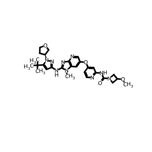 COC1CN(C(=O)Nc2cc(Oc3cnc4nc(Nc5cc(C(C)(C)C)n([C@H]6CCOC6)n5)n(C)c4c3)ccn2)C1